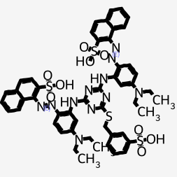 CCN(CC)c1ccc(/N=N/c2c(S(=O)(=O)O)ccc3ccccc23)c(Nc2nc(Nc3cc(N(CC)CC)ccc3/N=N/c3c(S(=O)(=O)O)ccc4ccccc34)nc(SCc3cccc(S(=O)(=O)O)c3)n2)c1